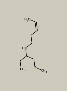 C/C=C\CCNC(CC)COC